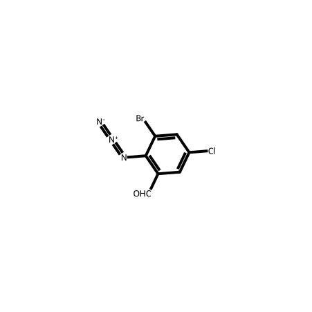 [N-]=[N+]=Nc1c(Br)cc(Cl)cc1C=O